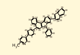 Cc1ccc(-c2ccc(-c3cc4c(c5ccccc35)c3ccc(-c5ccc6ccccc6c5)cc3n4-c3ccccc3)cc2)cn1